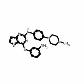 CN1CCN(c2ccc(Nc3nc(Sc4cccc(N)c4)c4sccc4n3)cc2)CC1